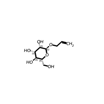 C=CCO[C@H]1O[C@H](CO)[C@@H](O)[C@H](O)[C@@H]1O